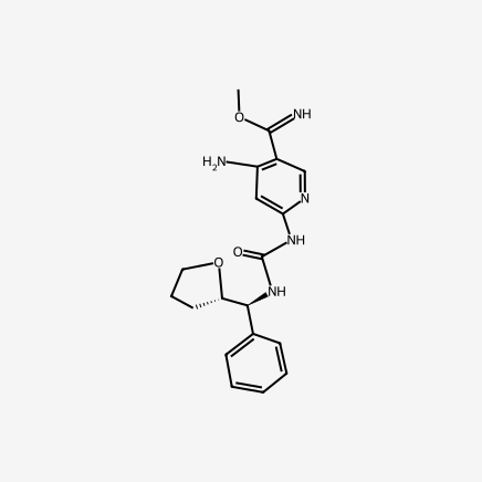 COC(=N)c1cnc(NC(=O)N[C@@H](c2ccccc2)[C@@H]2CCCO2)cc1N